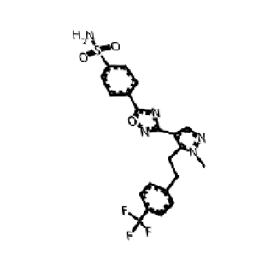 Cn1ncc(-c2noc(-c3ccc(S(N)(=O)=O)cc3)n2)c1CCc1ccc(C(F)(F)F)cc1